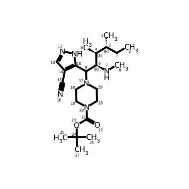 CC[C@@H](C)[C@H](C)[C@@H](NC)C(c1[nH]ncc1C#N)N1CCN(C(=O)OC(C)(C)C)CC1